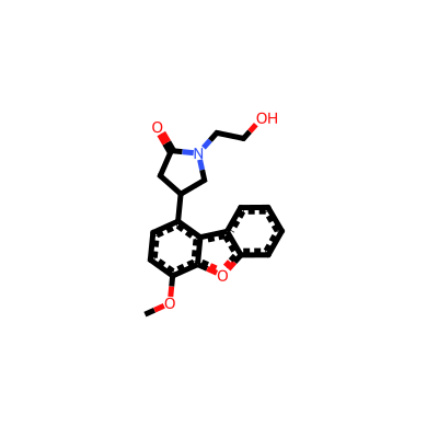 COc1ccc(C2CC(=O)N(CCO)C2)c2c1oc1ccccc12